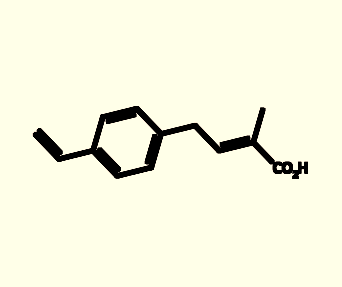 C=Cc1ccc(C/C=C(\C)C(=O)O)cc1